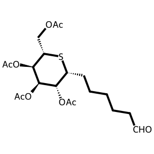 CC(=O)OC[C@@H]1S[C@H](CCCCCC=O)[C@H](OC(C)=O)[C@@H](OC(C)=O)[C@H]1OC(C)=O